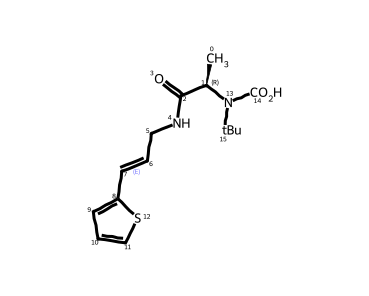 C[C@H](C(=O)NC/C=C/c1cccs1)N(C(=O)O)C(C)(C)C